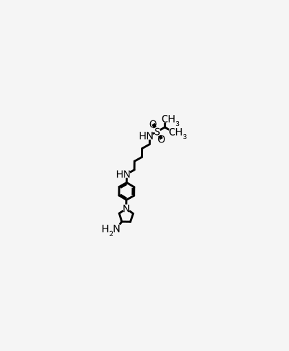 CC(C)S(=O)(=O)NCCCCCNc1ccc(N2CCC(N)C2)cc1